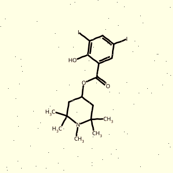 CN1C(C)(C)CC(OC(=O)c2cc(I)cc(I)c2O)CC1(C)C